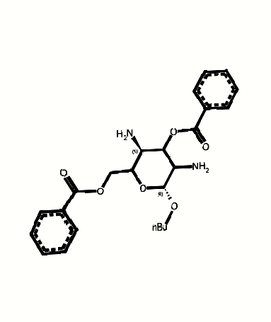 CCCCO[C@@H]1OC(COC(=O)c2ccccc2)[C@@H](N)C(OC(=O)c2ccccc2)C1N